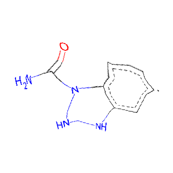 NC(=O)N1NNc2c[c]ccc21